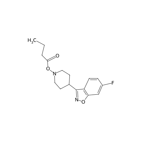 CCCC(=O)ON1CCC(c2noc3cc(F)ccc23)CC1